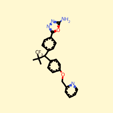 CC(C)(C(c1ccc(OCc2ccccn2)cc1)c1ccc(-c2nnc(N)o2)cc1)C(F)(F)F